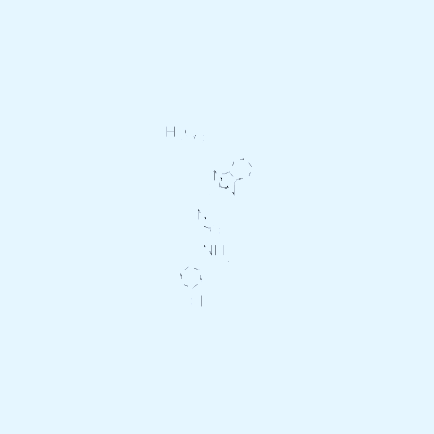 COCCCn1c(C2CCCN(C(=O)CC(N)Cc3ccc(Cl)cc3)C2)nc2ccccc21